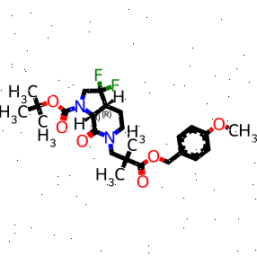 COc1ccc(COC(=O)C(C)(C)CN2CC[C@@H]3[C@H](C2=O)N(C(=O)OC(C)(C)C)CC3(F)F)cc1